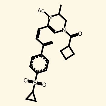 C=C(/C=C\C1=CN(C(=O)C2CCC2)CC(C)N1C(C)=O)c1ccc(S(=O)(=O)C2CC2)cc1